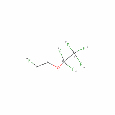 FCCOC(F)(F)C(F)(F)F